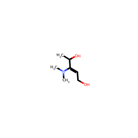 [CH2]C(O)C(=CCO)N(C)C